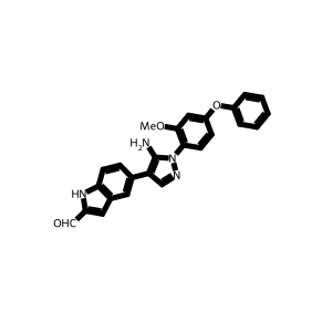 COc1cc(Oc2ccccc2)ccc1-n1ncc(-c2ccc3[nH]c(C=O)cc3c2)c1N